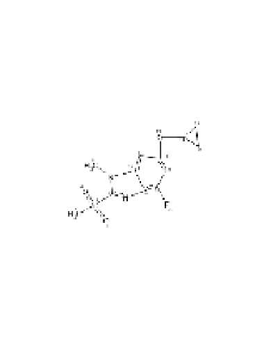 Cn1c(S(C)(=O)=O)nc2c(F)cc(OC3CC3)cc21